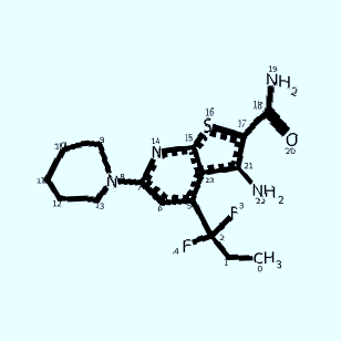 CCC(F)(F)c1cc(N2CCCCC2)nc2sc(C(N)=O)c(N)c12